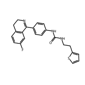 O=C(NCCc1cccs1)Nc1ccc(C2=NCCc3ccc(F)cc32)cc1